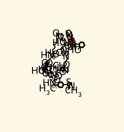 Cc1ncsc1-c1ccc([C@H](C)NC(=O)[C@@H]2C[C@@H](OP(=O)(O)OP(=O)(O)OCCNC(=O)CCCCCN3C(=O)C=CC3=O)CN2C(=O)[C@@H](c2cc(OCCN3CCN(CCOc4cc(N5C6CCC5CN(c5cc(-c7ccccc7O)nnc5N)C6)ccn4)[C@H](C)C3)no2)C(C)C)cc1